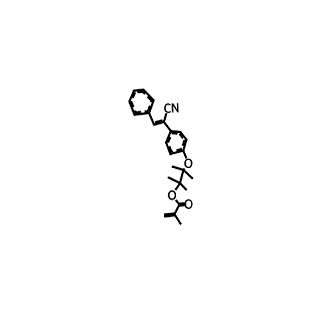 C=C(C)C(=O)OC(C)(C)C(C)(C)Oc1ccc(/C(C#N)=C/c2ccccc2)cc1